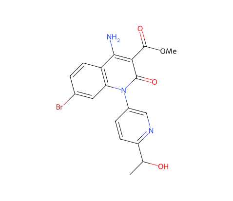 COC(=O)c1c(N)c2ccc(Br)cc2n(-c2ccc(C(C)O)nc2)c1=O